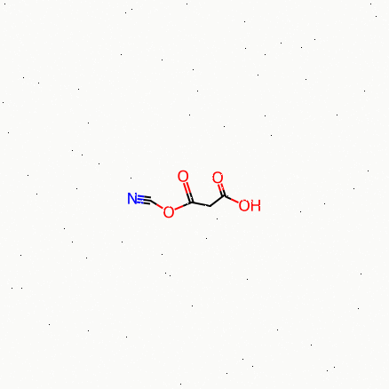 N#COC(=O)CC(=O)O